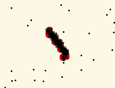 C1=CC2C=CC(OC3CO3)=CC2C=C1Oc1ccc2ccc(Oc3ccc4ccc(OC5CO5)cc4c3)cc2c1